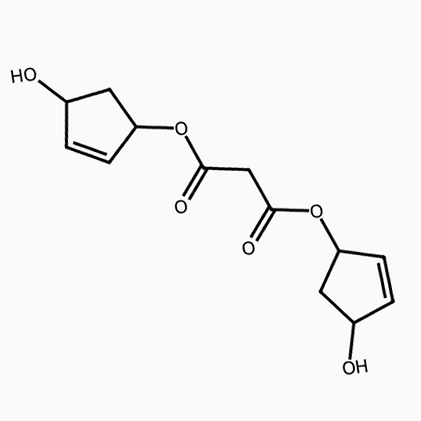 O=C(CC(=O)OC1C=CC(O)C1)OC1C=CC(O)C1